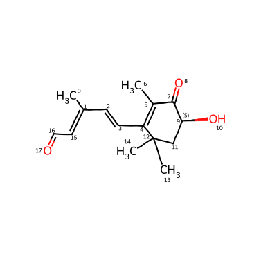 CC(C=CC1=C(C)C(=O)[C@@H](O)CC1(C)C)=CC=O